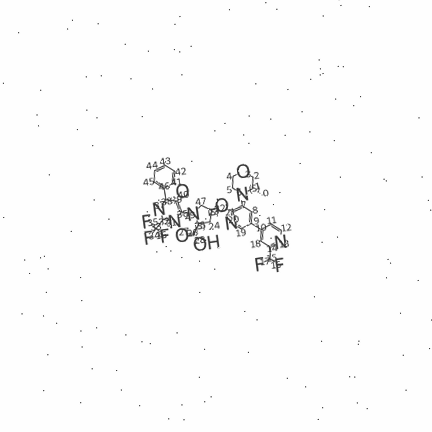 C[C@H]1COCCN1c1cc(-c2ccnc(C(F)F)c2)cnc1O[C@H]1C[C@@H](C(=O)O)N(c2nc(C(F)(F)F)nc3c2oc2ccccc23)C1